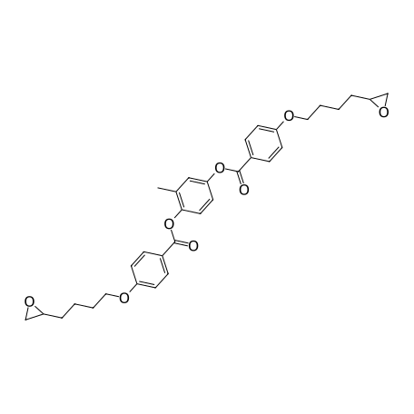 Cc1cc(OC(=O)c2ccc(OCCCCC3CO3)cc2)ccc1OC(=O)c1ccc(OCCCCC2CO2)cc1